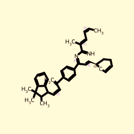 C=C(/C=C\C1c2ccccc2C(C)(C)C1C)c1ccc(C(/C=C/[C@@H]2CC=CCC2)=N/C(=N)/C(C)=C/C=C\C)cc1